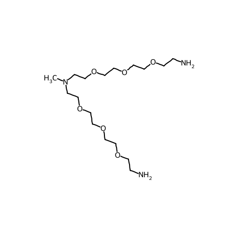 CN(CCOCCOCCOCCN)CCOCCOCCOCCN